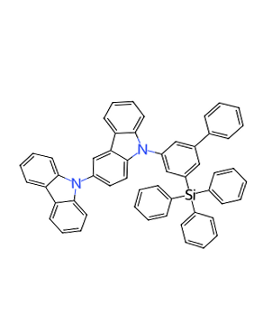 c1ccc(-c2cc(-n3c4ccccc4c4cc(-n5c6ccccc6c6ccccc65)ccc43)cc([Si](c3ccccc3)(c3ccccc3)c3ccccc3)c2)cc1